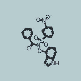 O=C(c1ccccc1)N(Oc1cccc2[nH]ccc12)S(=O)(=O)c1cccc([N+](=O)[O-])c1